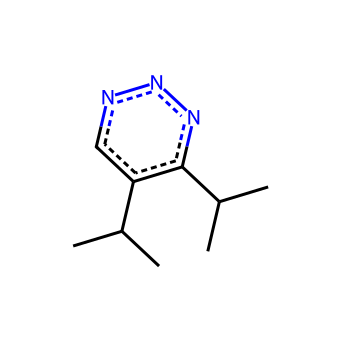 CC(C)c1cnnnc1C(C)C